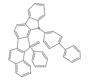 O=P1(c2ccccc2)c2c(ccc3ccccc23)-c2ccc3c4ccccc4n(-c4ccc(-c5ccccc5)cc4)c3c21